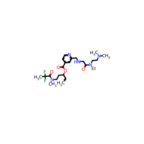 C=CC(CCN(C)C(=O)C(C)(F)F)OC(=O)c1ccnc(CNCC(=O)N(CC)CCN(C)C)c1